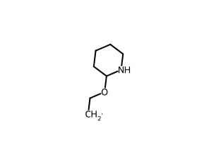 [CH2]COC1CCCCN1